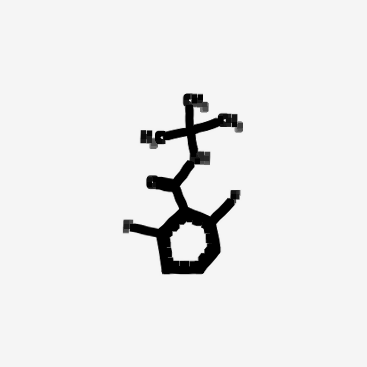 CC(C)(C)NC(=O)c1c(F)cccc1F